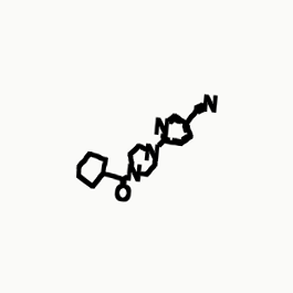 N#Cc1ccc(N2CCN(C(=O)C3CCCCC3)CC2)nc1